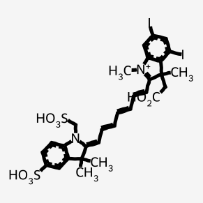 C[N+]1=C(/C=C/C=C/C=C/C=C2\N(CS(=O)(=O)O)c3ccc(S(=O)(=O)O)cc3C2(C)C)C(C)(CC(=O)O)c2c(I)cc(I)cc21